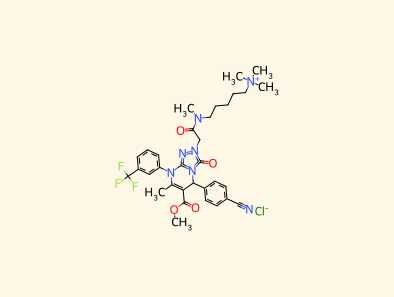 COC(=O)C1=C(C)N(c2cccc(C(F)(F)F)c2)c2nn(CC(=O)N(C)CCCCC[N+](C)(C)C)c(=O)n2C1c1ccc(C#N)cc1.[Cl-]